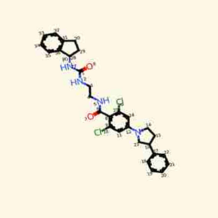 O=C(NCCNC(=O)c1c(Cl)cc(N2CCC(c3ccccc3)C2)cc1Cl)N[C@@H]1CCc2ccccc21